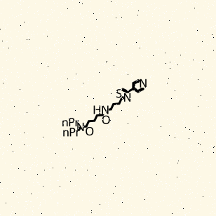 CCCN(CCC)C(=O)CCCC(=O)NCCCc1nc(-c2ccncc2)cs1